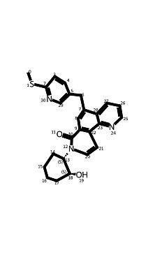 CSc1ccc(Cc2cc3c(=O)n([C@H]4CCCC[C@@H]4O)ccc3c3ncccc23)cn1